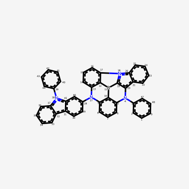 c1ccc(N2c3cccc4c3B3c5c(cccc5-n5c3c2c2ccccc25)N4c2ccc3c4ccccc4n(-c4ccccc4)c3c2)cc1